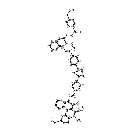 CCc1ccc(N(C)OCc2cc3ccccc3c(N=Nc3ccc(-c4nnc(-c5ccc(N=Nc6c(OC)c(C(=O)N(C)c7ccc(CC)cc7)cc7ccccc67)cc5)o4)cc3)c2OC)cc1